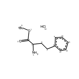 CC(C)(C)OC(=O)C(N)CCc1ccccc1.Cl